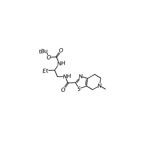 CCC(CNC(=O)c1nc2c(s1)CN(C)CC2)NC(=O)OC(C)(C)C